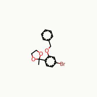 CC1(c2ccc(Br)cc2OCc2ccccc2)OCCO1